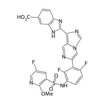 COc1ncc(F)cc1S(=O)(=O)Nc1ccc(F)c(-c2cn3cnc(-c4nc5ccc(C(=O)O)cc5[nH]4)c3cn2)c1F